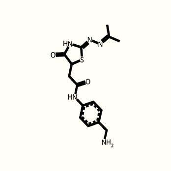 CC(C)=NN=C1NC(=O)C(CC(=O)Nc2ccc(CN)cc2)S1